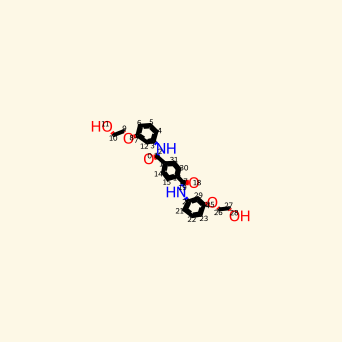 O=C(Nc1cccc(OCCO)c1)c1ccc(C(=O)Nc2cccc(OCCO)c2)cc1